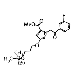 COC(=O)c1cc(OCCCO[Si](C)(C)C(C)(C)C)cn1CC(=O)c1cccc(F)c1